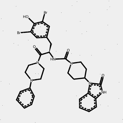 O=C(N[C@H](Cc1cc(Br)c(O)c(Br)c1)C(=O)N1CCN(c2ccccc2)CC1)N1CCC(n2c(=O)[nH]c3ccccc32)CC1